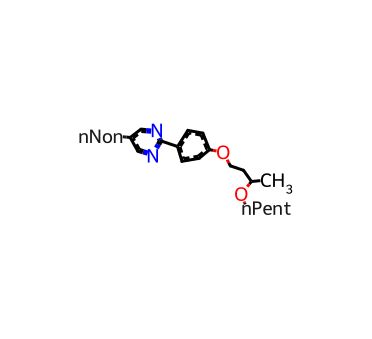 CCCCCCCCCc1cnc(-c2ccc(OCCC(C)OCCCCC)cc2)nc1